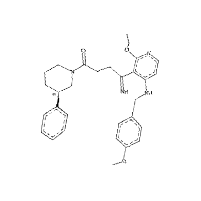 COc1ccc(CNc2ccnc(OC)c2C(=N)CCC(=O)N2CCC[C@H](c3ccccc3)C2)cc1